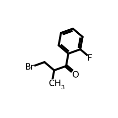 CC(CBr)C(=O)c1ccccc1F